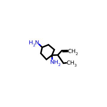 C=CC(CC)C1(N)CCC(N)CC1